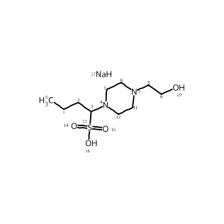 CCCC(N1CCN(CCO)CC1)S(=O)(=O)O.[NaH]